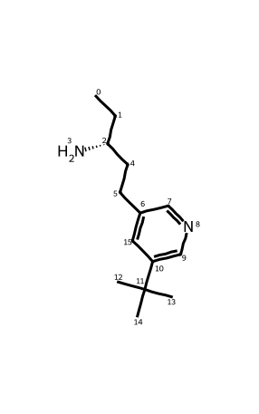 CC[C@@H](N)CCc1cncc(C(C)(C)C)c1